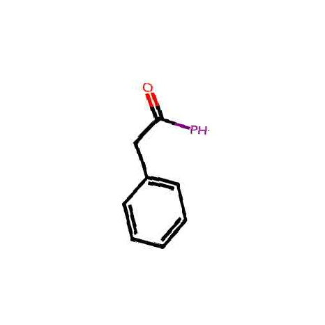 O=C([PH])Cc1ccccc1